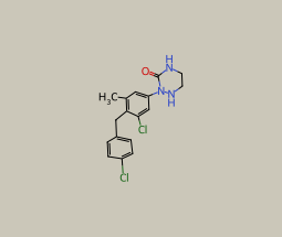 Cc1cc(N2NCCNC2=O)cc(Cl)c1Cc1ccc(Cl)cc1